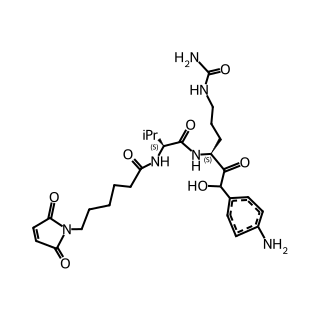 CC(C)[C@H](NC(=O)CCCCCN1C(=O)C=CC1=O)C(=O)N[C@@H](CCCNC(N)=O)C(=O)C(O)c1ccc(N)cc1